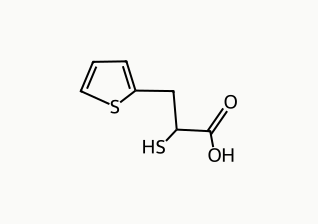 O=C(O)C(S)Cc1cccs1